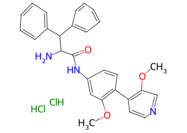 COc1cnccc1-c1ccc(NC(=O)C(N)C(c2ccccc2)c2ccccc2)cc1OC.Cl.Cl